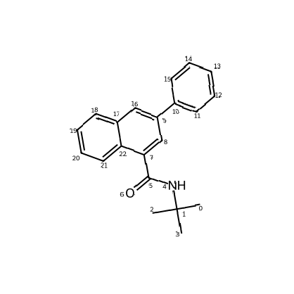 CC(C)(C)NC(=O)c1cc(-c2ccccc2)cc2ccccc12